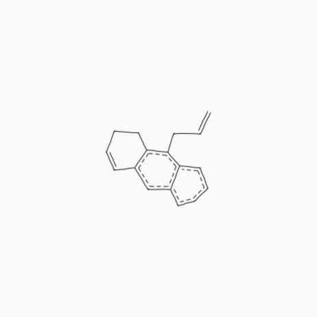 C=CCc1c2c(cc3ccccc13)C=CCC2